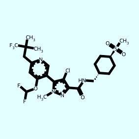 Cn1nc(C(=O)NC[C@H]2CC[C@H](S(C)(=O)=O)CC2)c(Cl)c1-c1cnc(CC(C)(C)C(F)(F)F)cc1OC(F)F